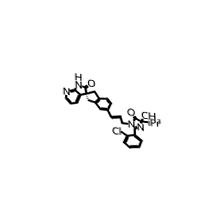 CC(C)C1(C)N=C(c2ccccc2Cl)N(C/C=C/c2ccc3c(c2)C[C@@]2(C3)C(=O)Nc3ncccc32)C1=O